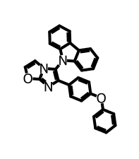 c1ccc(Oc2ccc(-c3nc4occn4c3-n3c4ccccc4c4ccccc43)cc2)cc1